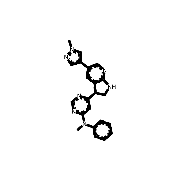 CN(c1ccccc1)c1cc(C2CNc3ncc(-c4cnn(C)c4)cc32)ncn1